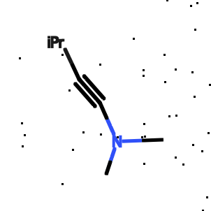 CC(C)C#CN(C)C